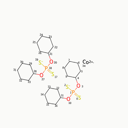 S=P([S-])(OC1CCCCC1)OC1CCCCC1.S=P([S-])(OC1CCCCC1)OC1CCCCC1.[Co+2]